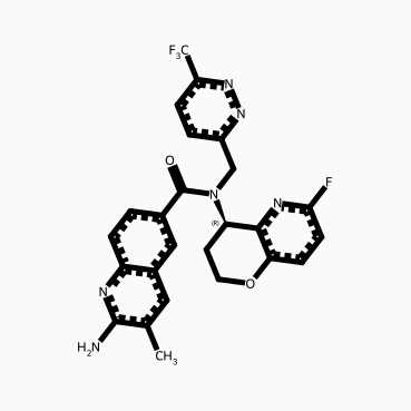 Cc1cc2cc(C(=O)N(Cc3ccc(C(F)(F)F)nn3)[C@@H]3CCOc4ccc(F)nc43)ccc2nc1N